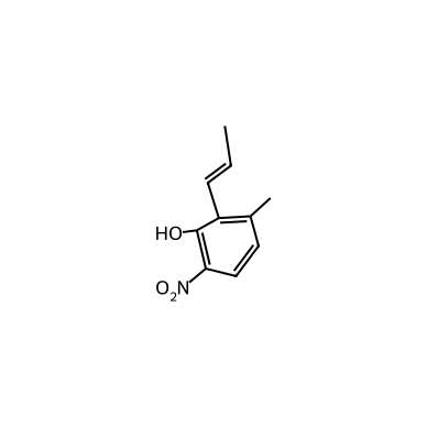 CC=Cc1c(C)ccc([N+](=O)[O-])c1O